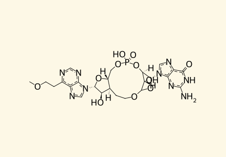 COCCc1ncnc2c1ncn2[C@@H]1O[C@@H]2COP(=O)(O)O[C@@H]3[C@H](O)C(OCC[C@H]2[C@H]1O)O[C@H]3n1cnc2c(=O)[nH]c(N)nc21